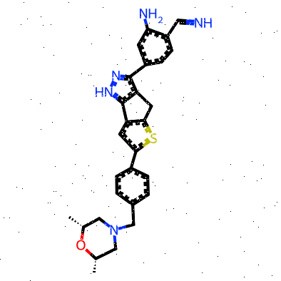 C[C@@H]1CN(Cc2ccc(-c3cc4c(s3)Cc3c(-c5ccc(C=N)c(N)c5)n[nH]c3-4)cc2)C[C@H](C)O1